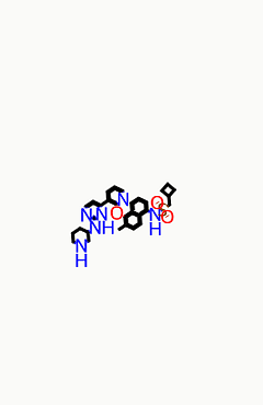 Cc1ccc2c(NS(=O)(=O)CC3CCC3)cccc2c1Oc1ncccc1-c1ccnc(NC2CCCNC2)n1